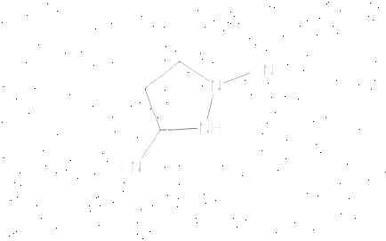 N#CN1CCC(N)N1